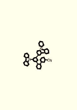 N#Cc1cccc(-c2ccccc2-c2cc(-c3ccc4c(c3)c3ccccc3n4-c3ccccc3)cc(-n3c4ccccc4c4ccccc43)c2)c1